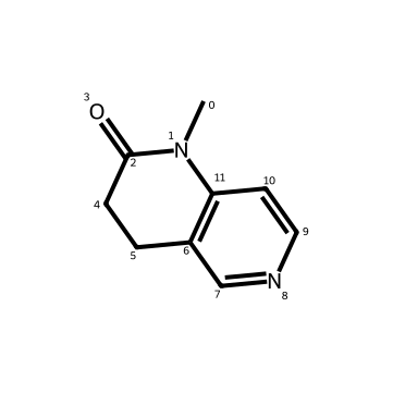 CN1C(=O)CCc2cnccc21